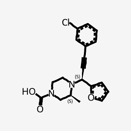 C[C@H]1CN(C(=O)O)CCN1[C@@H](C#Cc1cccc(Cl)c1)c1ccco1